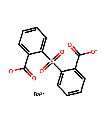 O=C([O-])c1ccccc1S(=O)(=O)c1ccccc1C(=O)[O-].[Ba+2]